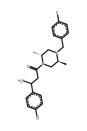 C[C@@H]1CN(Cc2ccc(F)cc2)[C@@H](C)CN1C(=O)CC(N)c1ccc(Cl)cc1